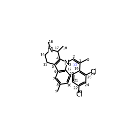 C/C(=C/n1c2c(c3cc(C)ccc31)CCN(C)C2C)c1ccc(Cl)cc1Cl